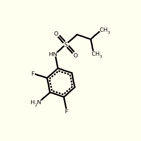 CC(C)CS(=O)(=O)Nc1ccc(F)c(N)c1F